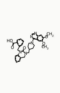 COc1cc2ncnc(N3CCC(CN4Cc5ccccc5N(Cc5ccccc5C(=O)O)C4=O)CC3)c2cc1OC